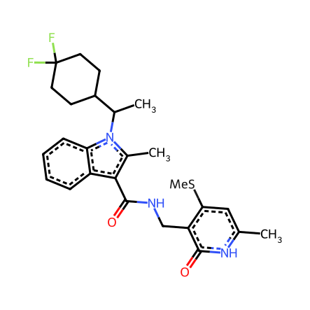 CSc1cc(C)[nH]c(=O)c1CNC(=O)c1c(C)n(C(C)C2CCC(F)(F)CC2)c2ccccc12